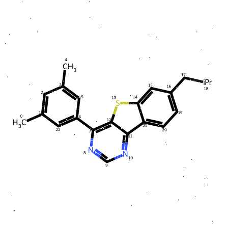 Cc1cc(C)cc(-c2ncnc3c2sc2cc(CC(C)C)ccc23)c1